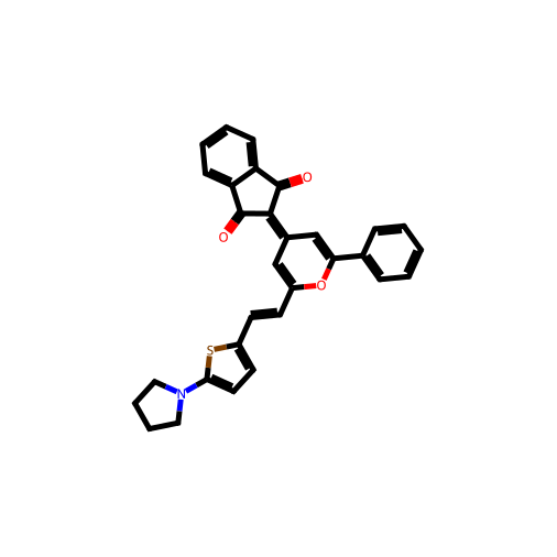 O=C1C(=C2C=C(C=Cc3ccc(N4CCCC4)s3)OC(c3ccccc3)=C2)C(=O)c2ccccc21